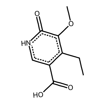 CCc1c(C(=O)O)c[nH]c(=O)c1OC